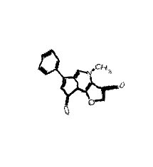 CN1C=C2C(c3ccccc3)=CC(=O)C2C2=C1C(=O)CO2